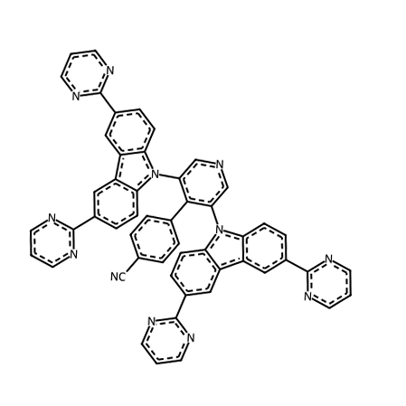 N#Cc1ccc(-c2c(-n3c4ccc(-c5ncccn5)cc4c4cc(-c5ncccn5)ccc43)cncc2-n2c3ccc(-c4ncccn4)cc3c3cc(-c4ncccn4)ccc32)cc1